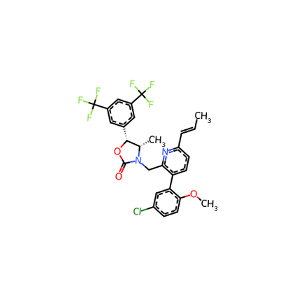 C/C=C/c1ccc(-c2cc(Cl)ccc2OC)c(CN2C(=O)O[C@H](c3cc(C(F)(F)F)cc(C(F)(F)F)c3)[C@@H]2C)n1